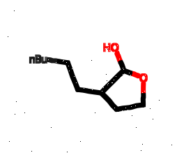 CCCCCCC1CCOC1O